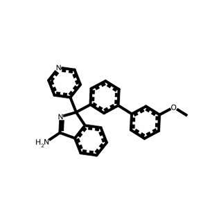 COc1cccc(-c2cccc(C3(c4ccncc4)N=C(N)c4ccccc43)c2)c1